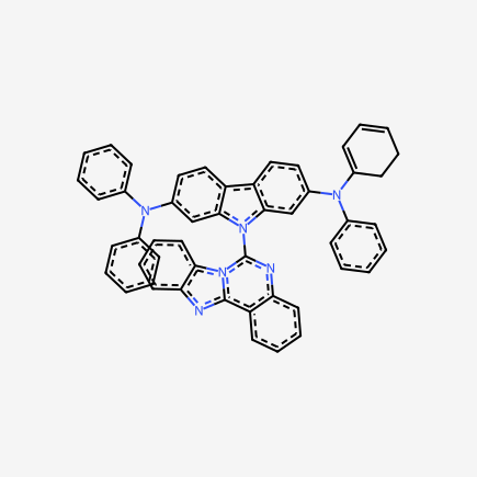 C1=CCCC(N(c2ccccc2)c2ccc3c4ccc(N(c5ccccc5)c5ccccc5)cc4n(-c4nc5ccccc5c5nc6ccccc6n45)c3c2)=C1